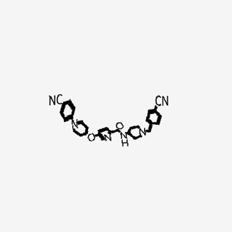 N#Cc1ccc(CN2CCC(NC(=O)c3ccc(OC4CCN(c5ccc(C#N)cc5)CC4)cn3)CC2)cc1